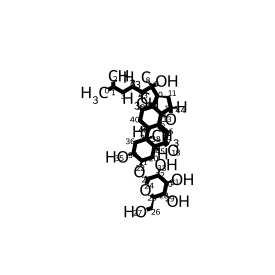 CC(C)CC[C@@H](O)[C@](C)(O)[C@H]1C[C@@H]2O[C@@]23C2=CC(=O)[C@@H]4C[C@@H](O[C@@H]5O[C@H](CO)[C@@H](O)[C@H](O)[C@H]5O)[C@@H](O)C[C@]4(C)[C@H]2CC[C@]13C